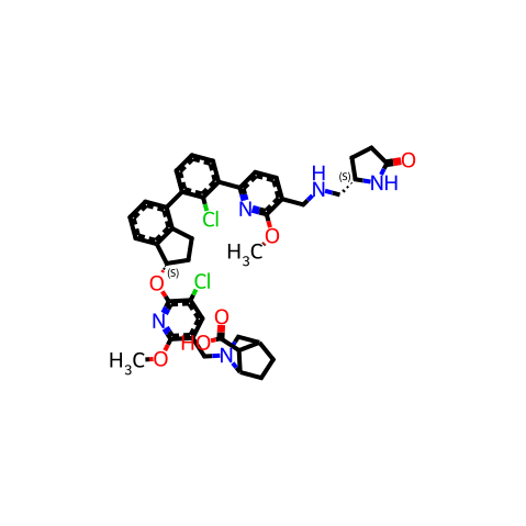 COc1nc(-c2cccc(-c3cccc4c3CC[C@@H]4Oc3nc(OC)c(CN4CC5CCC4C5C(=O)O)cc3Cl)c2Cl)ccc1CNC[C@@H]1CCC(=O)N1